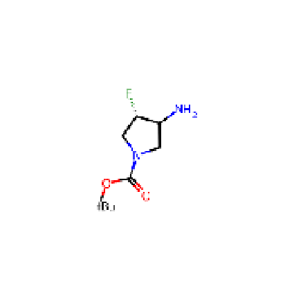 CC(C)(C)OC(=O)N1CC(N)[C@@H](F)C1